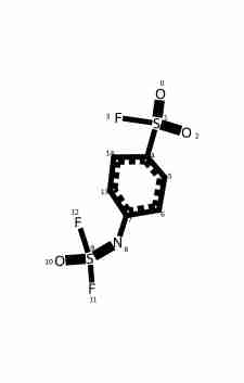 O=S(=O)(F)c1ccc(N=S(=O)(F)F)cc1